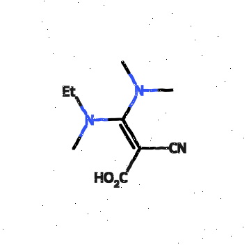 CCN(C)C(=C(C#N)C(=O)O)N(C)C